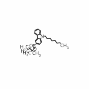 CCCCCCCCn1c2ccccc2c2cc(B3OC(C)(C)C(C)(C)O3)ccc21